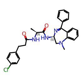 C[C@H](NC(=O)CCc1ccc(Cl)cc1)C(=O)N[C@@H]1CN(C)c2ccccc2C(c2ccccc2)=N1